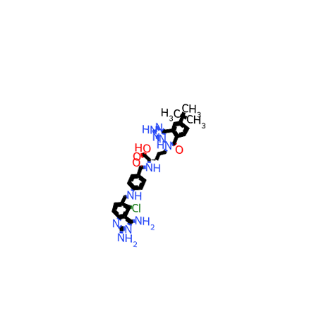 CC(C)(C)c1ccc(C(=O)NCCC[C@H](NC(=O)c2ccc(NCc3ccc4nc(N)nc(N)c4c3Cl)cc2)C(=O)O)c(-c2nn[nH]n2)c1